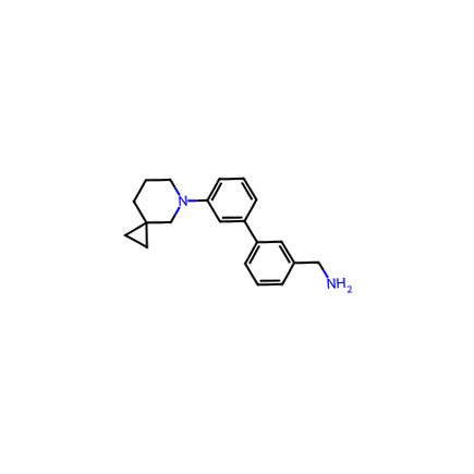 NCc1cccc(-c2cccc(N3CCCC4(CC4)C3)c2)c1